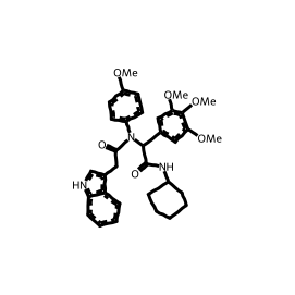 COc1ccc(N(C(=O)Cc2c[nH]c3ccccc23)C(C(=O)NC2CCCCC2)c2cc(OC)c(OC)c(OC)c2)cc1